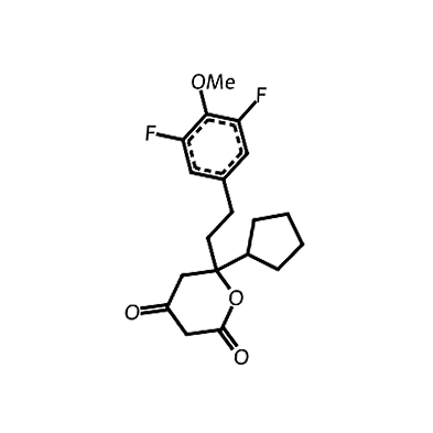 COc1c(F)cc(CCC2(C3CCCC3)CC(=O)CC(=O)O2)cc1F